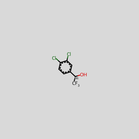 O[C@H](c1ccc(Cl)c(Cl)c1)C(F)(F)F